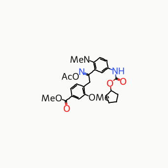 CNc1ccc(NC(=O)OC2CCCC2)cc1C(Cc1ccc(C(=O)OC)cc1OC)=NOC(C)=O